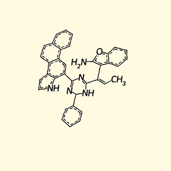 C/C=C(/C1=NC(c2cc3c4ccccc4ccc3c3cc[nH]c23)=NC(c2ccccc2)N1)c1c(N)oc2ccccc12